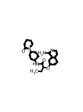 CCC(Oc1ccc2ccnc(N)c2c1)C(=O)Nc1ccc(-n2ccccc2=O)cc1